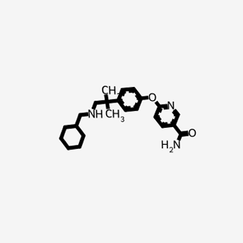 CC(C)(CNCC1CCCCC1)c1ccc(Oc2ccc(C(N)=O)cn2)cc1